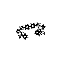 CN(C)[C@@H](C(=O)N1CCC[C@H]1c1ncc(-c2ccc(-c3ccc(-c4cnc([C@@H]5CCCN5C(=O)[C@@](C)(O)c5ccccc5F)[nH]4)cc3)cc2)[nH]1)c1ccccc1